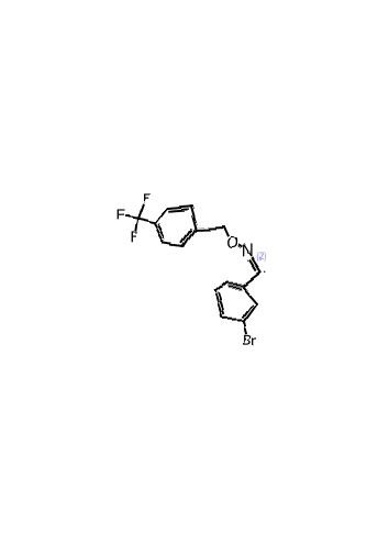 FC(F)(F)c1ccc(CO/N=[C]\c2cccc(Br)c2)cc1